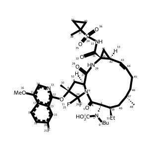 CCC(C)N(C(=O)O)[C@@H]1C(=O)N2[C@@H](C[C@@](C)(Oc3ncc(OC)c4ccc(F)cc34)C2(F)F)C(=O)N[C@]2(C(=O)NS(=O)(=O)C3(C)CC3)C[C@H]2/C=C\CC[C@H](C)C[C@H]1CC